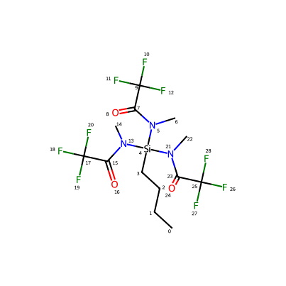 CCCC[Si](N(C)C(=O)C(F)(F)F)(N(C)C(=O)C(F)(F)F)N(C)C(=O)C(F)(F)F